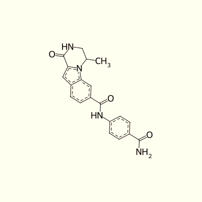 CC1CNC(=O)c2cc3ccc(C(=O)Nc4ccc(C(N)=O)cc4)cc3n21